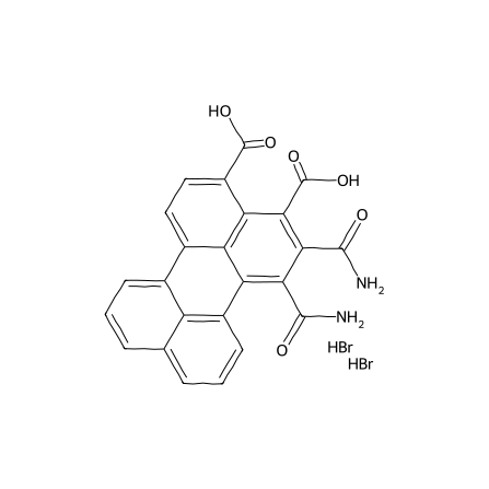 Br.Br.NC(=O)c1c(C(=O)O)c2c(C(=O)O)ccc3c4cccc5cccc(c(c1C(N)=O)c23)c54